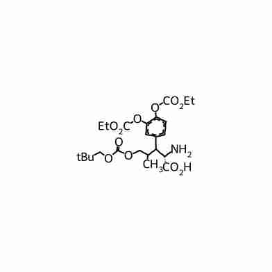 CCOC(=O)Oc1ccc(C(C(C)COC(=O)OCC(C)(C)C)[C@H](N)C(=O)O)cc1OC(=O)OCC